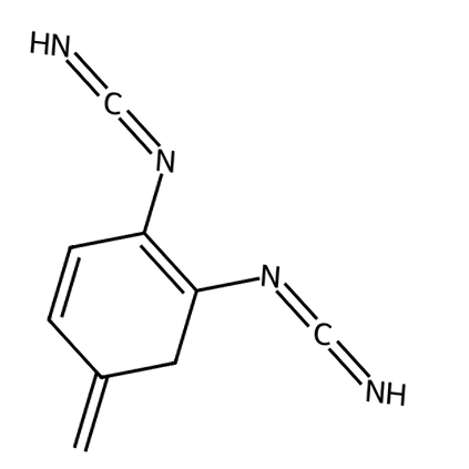 C=C1C=CC(N=C=N)=C(N=C=N)C1